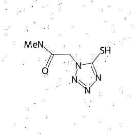 CNC(=O)Cn1nnnc1S